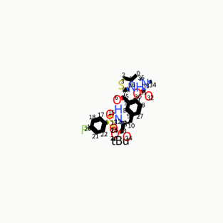 CC1CS[C@@H](C(=O)c2cc(C[C@H](NS(=O)(=O)c3ccc(F)cc3)C(=O)OC(C)(C)C)ccc2OC(=O)N(C)C)N1